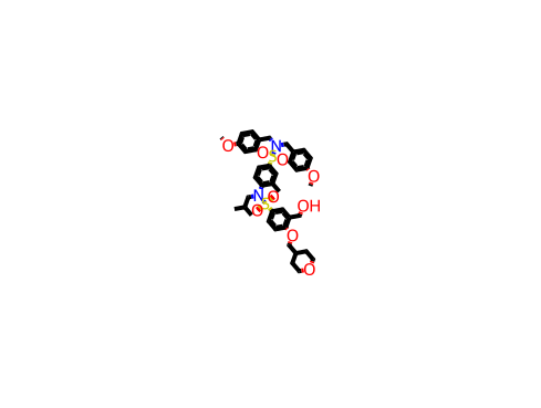 COc1ccc(CN(Cc2ccc(OC)cc2)S(=O)(=O)c2ccc(N(CC(C)C)S(=O)(=O)c3ccc(OCC4CCOCC4)c(CO)c3)c(C)c2)cc1